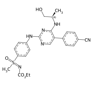 CCOC(=O)N=S(C)(=O)c1ccc(Nc2ncc(-c3ccc(C#N)cc3)c(N[C@H](C)CO)n2)cc1